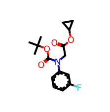 CC(C)(C)OC(=O)N(CC(=O)OC1CC1)c1cccc(F)c1